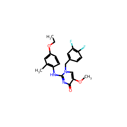 CCOc1ccc(Nc2nc(=O)c(OC)cn2Cc2ccc(F)c(F)c2)c(C)c1